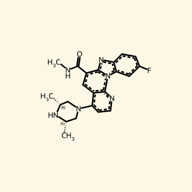 CNC(=O)c1cc2c(N3C[C@@H](C)N[C@@H](C)C3)ccnc2n2c1nc1ccc(F)cc12